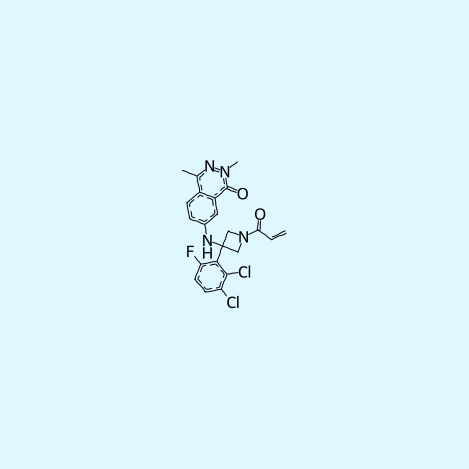 C=CC(=O)N1CC(Nc2ccc3c(C)nn(C)c(=O)c3c2)(c2c(F)ccc(Cl)c2Cl)C1